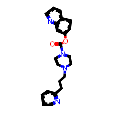 O=C(Oc1ccc2cccnc2c1)N1CCN(CCCc2ccccn2)CC1